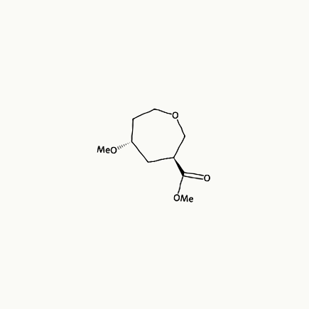 COC(=O)[C@@H]1COCC[C@@H](OC)C1